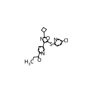 CCC(=O)c1ccc(-c2nc(C3CCC3)oc2Sc2ccc(Cl)cn2)cn1